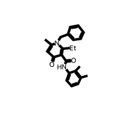 CCc1c(C(=O)Nc2cccc(C)c2C)c(=O)cc(C)n1Cc1ccccc1